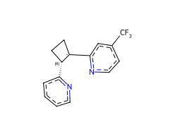 FC(F)(F)c1ccnc([C]2CC[C@H]2c2ccccn2)c1